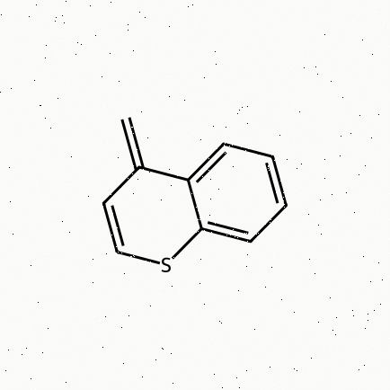 C=C1C=CSc2ccccc21